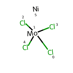 [Cl][Mo]([Cl])([Cl])[Cl].[Ni]